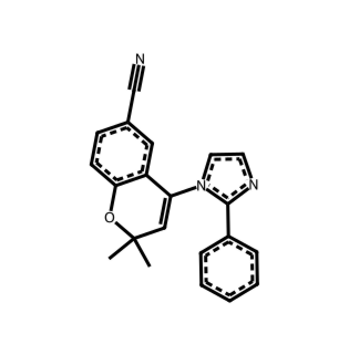 CC1(C)C=C(n2ccnc2-c2ccccc2)c2cc(C#N)ccc2O1